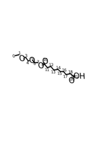 CCOCCOCCOC(=O)CCCCCCCCC(=O)O